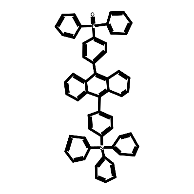 O=P(c1ccccc1)(c1ccccc1)c1ccc(-c2c3ccccc3c(-c3ccc([Si](c4ccccc4)(c4ccccc4)c4ccccc4)cc3)c3ccccc23)cc1